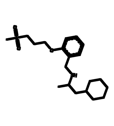 CC(CC1CCCCC1)NCc1ccccc1OCCCS(C)(=O)=O